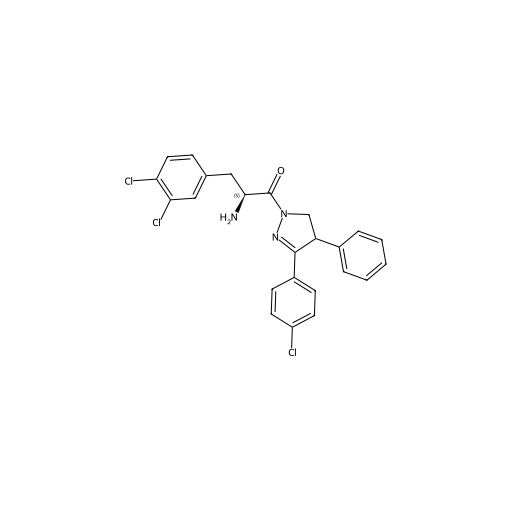 N[C@@H](Cc1ccc(Cl)c(Cl)c1)C(=O)N1CC(c2ccccc2)C(c2ccc(Cl)cc2)=N1